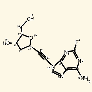 Nc1nc(F)nc2c1ncn2C#C[C@H]1C[C@H](O)[C@@H](CO)O1